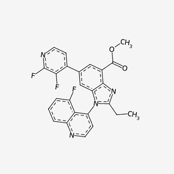 CCc1nc2c(C(=O)OC)cc(-c3ccnc(F)c3F)cc2n1-c1ccnc2cccc(F)c12